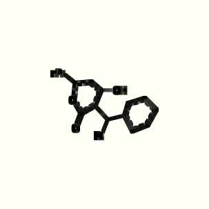 CCCc1cc(O)c(C(CC)c2ccccc2)c(=O)o1